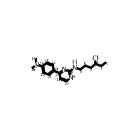 CCC(Cl)CCCNc1nccc(-c2ccc(N(C)C)cc2)n1